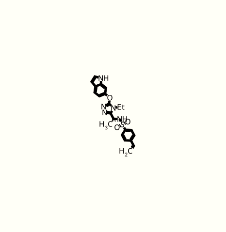 C=Cc1ccc(S(=O)(=O)N[C@H](C)c2nnc(Oc3ccc4cc[nH]c4c3)n2CC)cc1